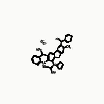 CCCC[C](CCCC)=[Zr+2]([C]1=CC=CC1)[c]1c(C)c(C(CCC)c2ccccc2)cc2c1Cc1cc(C)c(C(CCC)c3ccccc3)cc1-2.[Cl-].[Cl-]